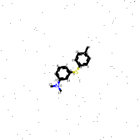 Cc1ccc(Sc2[c]ccc(N(C)C)c2)cc1